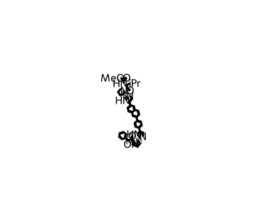 COC(=O)NC(C(=O)N1CCC[C@H]1c1ncc(-c2ccc3cc(-c4ccc(-c5cnc([C@@H]6CCCN6C(=O)[C@H](O)c6ccccc6)[nH]5)cc4)ccc3c2)[nH]1)C(C)C